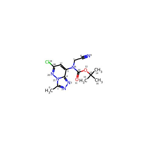 Cc1nnc2c(N(CC#N)C(=O)OC(C)(C)C)cc(Cl)nn12